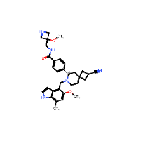 COc1cc(C)c2[nH]ccc2c1CN1CCC2(CC(C#N)C2)C[C@H]1c1ccc(C(=O)NCC2(OC)CNC2)cc1